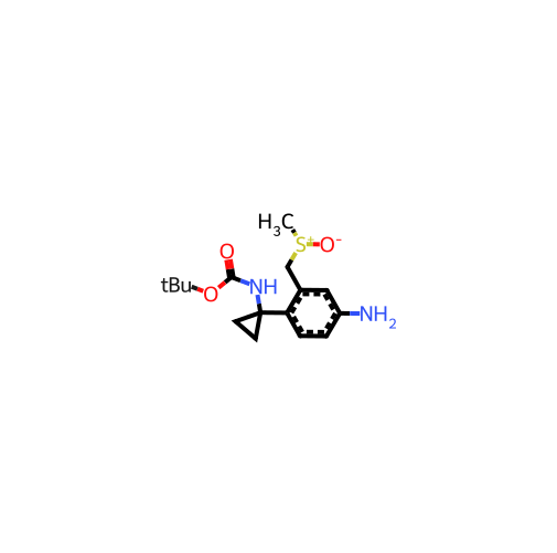 C[S+]([O-])Cc1cc(N)ccc1C1(NC(=O)OC(C)(C)C)CC1